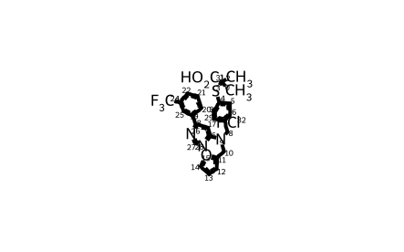 CC(C)(Sc1ccc(CN(Cc2ccco2)c2cc(-c3cccc(C(F)(F)F)c3)ncn2)cc1)C(=O)O.Cl